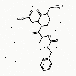 COC(=O)CC1C(=O)N(CC(=O)O)CCN1C(=O)C(C)NC(=O)OCc1ccccc1